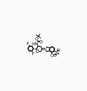 CC(C)(C)OC(=O)N[C@H]1C[C@@H](N2Cc3ccc(S(C)(=O)=O)c(Cl)c3C2)CO[C@@H]1c1cc(F)ccc1F